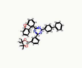 CC1(C)OB(c2cccc(-c3nc(-c4ccc(-c5ccccc5)cc4)nc(-c4cccc5oc6ccccc6c45)n3)c2)OC1(C)C